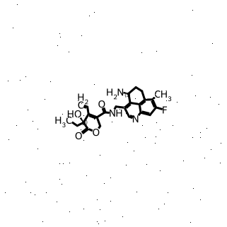 C=CC1=C(C(=O)NCc2cnc3cc(F)c(C)c4c3c2[C@@H](N)CC4)COC(=O)[C@]1(O)CC